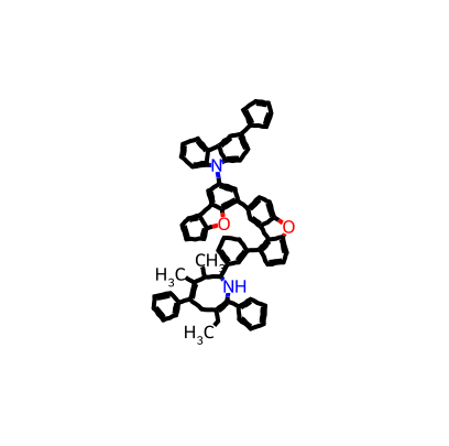 CC/C1=C(\c2ccccc2)NC(C2=CCCC(c3cccc4oc5ccc(-c6cc(-n7c8ccccc8c8cc(-c9ccccc9)ccc87)cc7c6oc6ccccc67)cc5c34)=C2)C(C)/C(C)=C(/c2ccccc2)C1